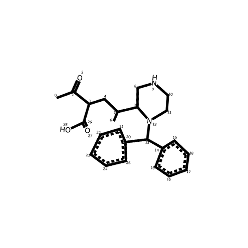 CC(=O)C(CC(C)C1CNCCN1C(c1ccccc1)c1ccccc1)C(=O)O